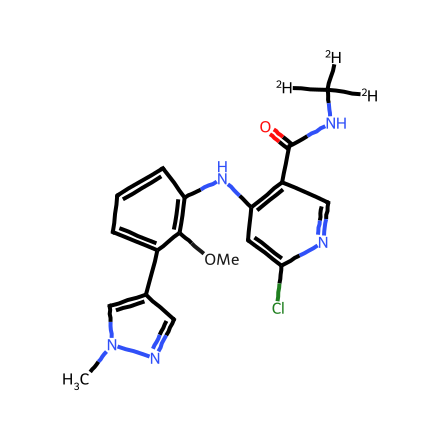 [2H]C([2H])([2H])NC(=O)c1cnc(Cl)cc1Nc1cccc(-c2cnn(C)c2)c1OC